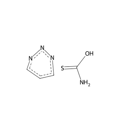 NC(O)=S.c1cnnnc1